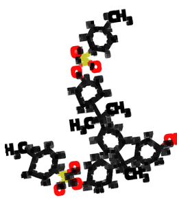 Cc1ccc(S(=O)(=O)Oc2ccc(C(C)(C)c3ccc(C(C)(c4ccc(O)cc4)c4ccc(OS(=O)(=O)c5ccc(C)cc5)cc4)cc3)cc2)cc1